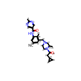 Cc1ncc(C(=O)Nc2cc(C#N)cc(CN3CCN(C(=O)CC4CC4)C(C)C3)c2C)cn1